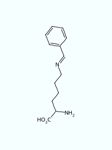 NC(CCCCN=Cc1ccccc1)C(=O)O